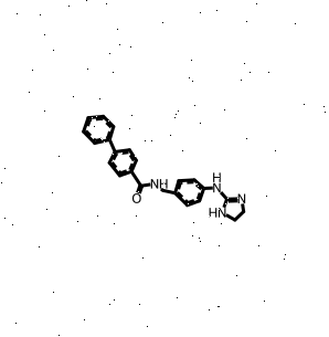 O=C(NCc1ccc(NC2=NCCN2)cc1)c1ccc(-c2ccccc2)cc1